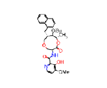 COc1ccnc(C(=O)N[C@H]2COC[C@H](Cc3cccc4ccccc34)[C@@H](OCC(C)C)[C@H](C)OC2=O)c1O